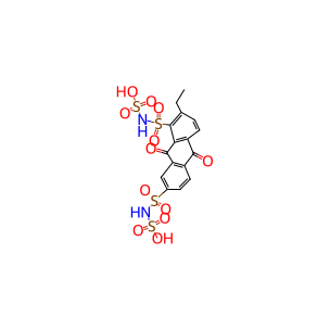 CCc1ccc2c(c1S(=O)(=O)NS(=O)(=O)O)C(=O)c1cc(S(=O)(=O)NS(=O)(=O)O)ccc1C2=O